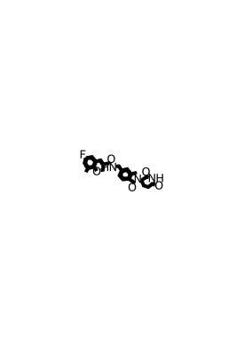 Cc1cc(F)cc2c1OCC(C(=O)NCc1ccc3c(c1)CN(C1CCC(=O)NC1=O)C3=O)=C2